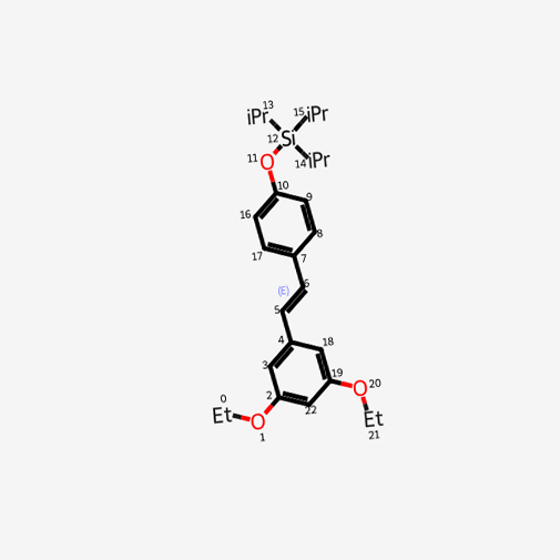 CCOc1cc(/C=C/c2ccc(O[Si](C(C)C)(C(C)C)C(C)C)cc2)cc(OCC)c1